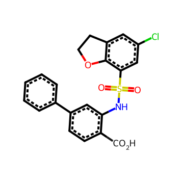 O=C(O)c1ccc(-c2ccccc2)cc1NS(=O)(=O)c1cc(Cl)cc2c1OCC2